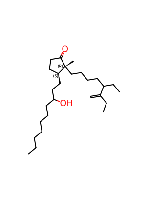 C=C(CC)C(CC)CCCC[C@@]1(C)C(=O)CC[C@@H]1CCC(O)CCCCCCC